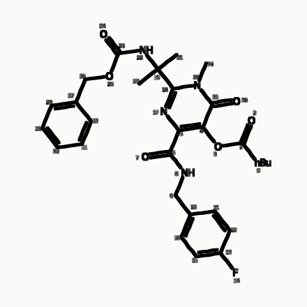 CCCCC(=O)Oc1c(C(=O)NCc2ccc(F)cc2)nc(C(C)(C)NC(=O)OCc2ccccc2)n(C)c1=O